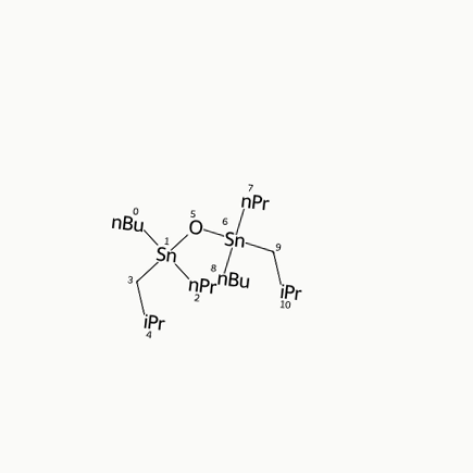 CCC[CH2][Sn]([CH2]CC)([CH2]C(C)C)[O][Sn]([CH2]CC)([CH2]CCC)[CH2]C(C)C